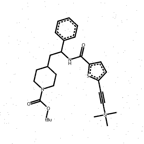 CC(C)(C)OC(=O)N1CCC(CC(NC(=O)c2ccc(C#C[Si](C)(C)C)s2)c2ccccc2)CC1